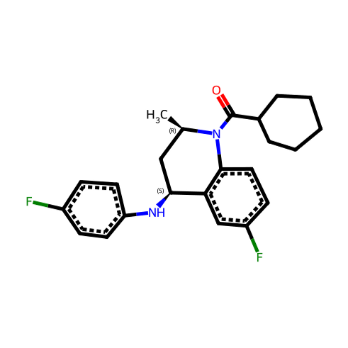 C[C@@H]1C[C@H](Nc2ccc(F)cc2)c2cc(F)ccc2N1C(=O)C1CCCCC1